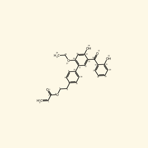 C=CC(=O)OCCc1ccc(-c2cc(C(=O)c3ccccc3O)c(O)cc2OCC)cc1